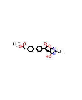 COC(=O)C[C@H]1CC[C@H](c2ccc(-c3cc4c(O)nc(C)nc4oc3=O)cc2)CC1